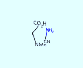 CNCC(=O)O.N#CN